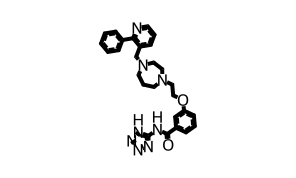 O=C(Nc1nnn[nH]1)c1cccc(OCCN2CCCN(Cc3cccnc3-c3ccccc3)CC2)c1